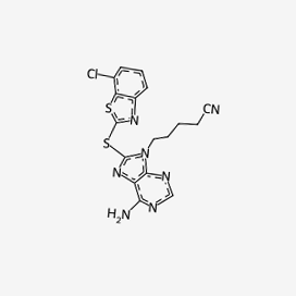 N#CCCCCn1c(Sc2nc3cccc(Cl)c3s2)nc2c(N)ncnc21